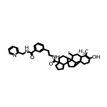 CC1=C(O)CCC23C1CC(I)C14C2C3CC12C1CCCC1(C(=O)NCCc1cccc(C(=O)NCc3ccccn3)c1)CCC24